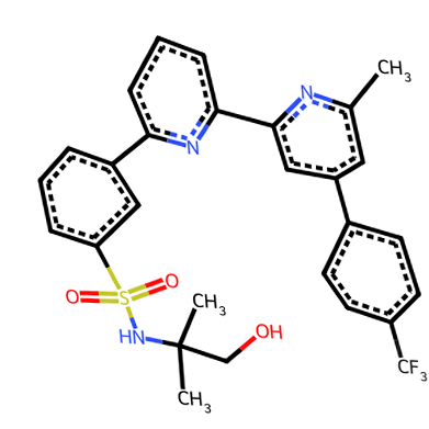 Cc1cc(-c2ccc(C(F)(F)F)cc2)cc(-c2cccc(-c3cccc(S(=O)(=O)NC(C)(C)CO)c3)n2)n1